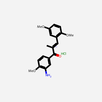 COc1ccc(OC)c(/C=C(\C)C(=O)c2ccc(OC)c(N)c2)c1.Cl